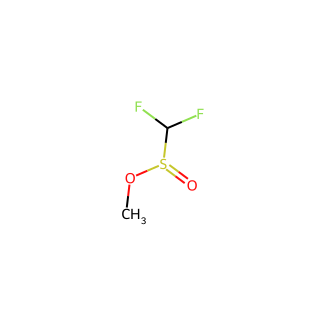 COS(=O)C(F)F